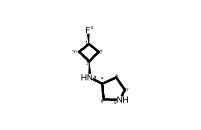 F[C@H]1C[C@@H](NC2CCNC2)C1